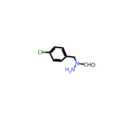 NN([C]=O)Cc1ccc(Cl)cc1